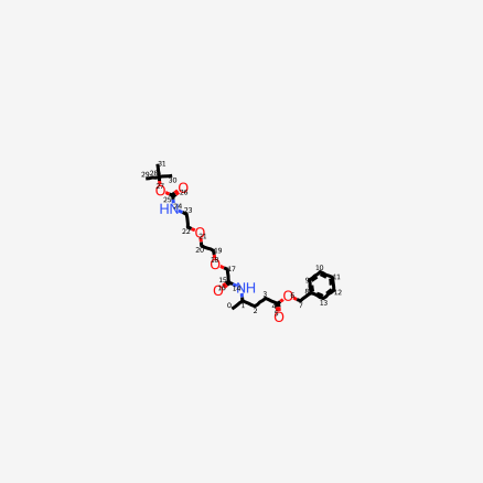 CC(CCC(=O)OCc1ccccc1)NC(=O)COCCOCCNC(=O)OC(C)(C)C